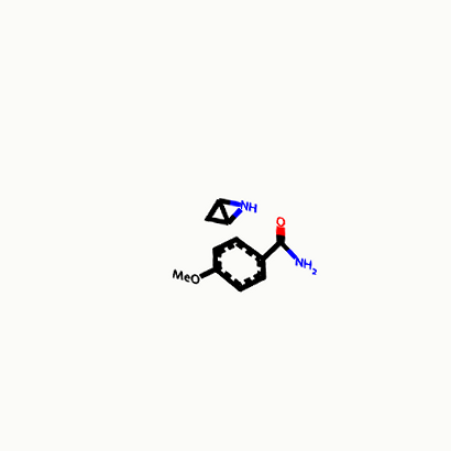 C1C2NC12.COc1ccc(C(N)=O)cc1